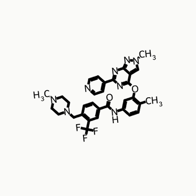 Cc1ccc(NC(=O)c2ccc(CN3CCN(C)CC3)c(C(F)(F)F)c2)cc1Oc1nc(-c2ccncc2)nc2nn(C)cc12